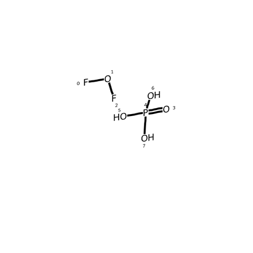 FOF.O=P(O)(O)O